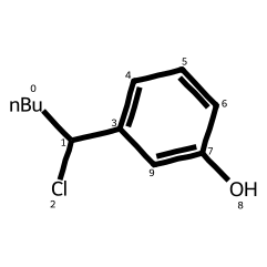 CCCCC(Cl)c1cccc(O)c1